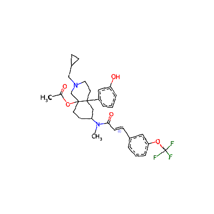 CC(=O)OC12CCC(N(C)C(=O)/C=C/c3cccc(OC(F)(F)F)c3)CC1(c1cccc(O)c1)CCN(CC1CC1)C2